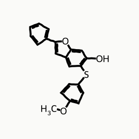 COc1ccc(Sc2cc3cc(-c4ccccc4)oc3cc2O)cc1